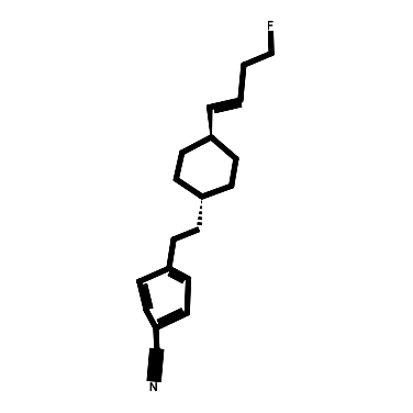 N#Cc1ccc(CC[C@H]2CC[C@H](C=CCCF)CC2)cc1